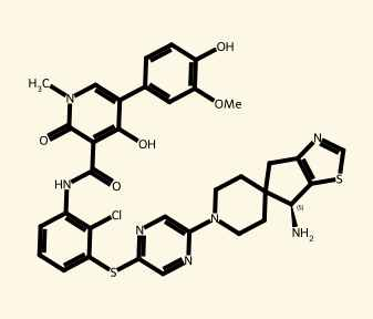 COc1cc(-c2cn(C)c(=O)c(C(=O)Nc3cccc(Sc4cnc(N5CCC6(CC5)Cc5ncsc5[C@H]6N)cn4)c3Cl)c2O)ccc1O